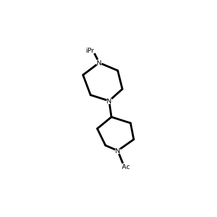 CC(=O)N1CCC(N2CCN(C(C)C)CC2)CC1